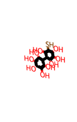 Oc1c(O)c(O)c(-c2c(O)c(O)c(O)c(S)c2O)c(O)c1O